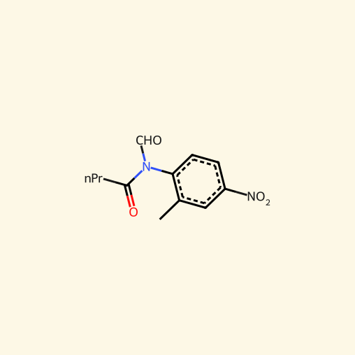 CCCC(=O)N(C=O)c1ccc([N+](=O)[O-])cc1C